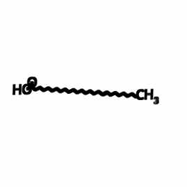 CCCCCCCCC=CCCCCCCCCCCCCCCCCC(=O)O